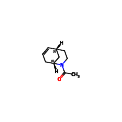 CC(=O)N1CC[C@H]2C=CC[C@@H]1C2